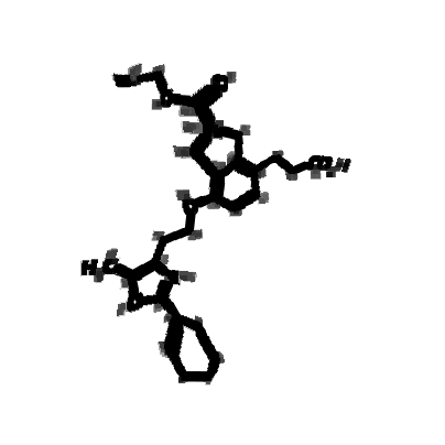 Cc1oc(-c2ccccc2)nc1CCOc1ccc(CCC(=O)O)c2c1CN(C(=O)OCC(C)(C)C)C2